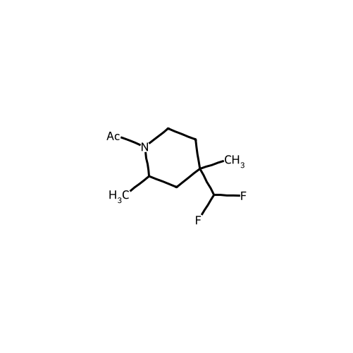 CC(=O)N1CCC(C)(C(F)F)CC1C